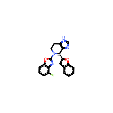 Fc1cccc2oc(N3CCc4[nH]cnc4[C@H]3c3cc4ccccc4o3)nc12